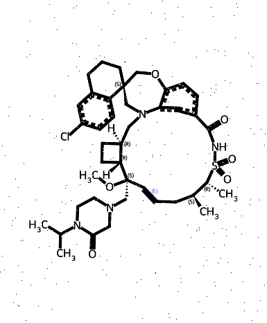 CO[C@]1(CN2CCN(C(C)C)C(=O)C2)/C=C/C[C@H](C)[C@@H](C)S(=O)(=O)NC(=O)c2ccc3c(c2)N(C[C@@H]2CC[C@H]21)C[C@@]1(CCCc2cc(Cl)ccc21)CO3